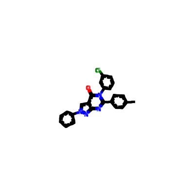 Cc1ccc(-c2nc3nn(-c4ccccc4)cc3c(=O)n2-c2cccc(Cl)c2)cc1